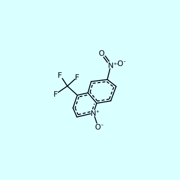 O=[N+]([O-])c1ccc2c(c1)c(C(F)(F)F)cc[n+]2[O-]